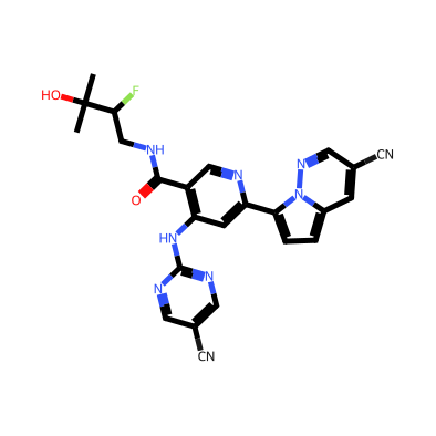 CC(C)(O)C(F)CNC(=O)c1cnc(-c2ccc3cc(C#N)cnn23)cc1Nc1ncc(C#N)cn1